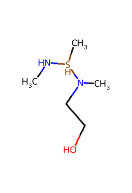 CN[SH](C)N(C)CCO